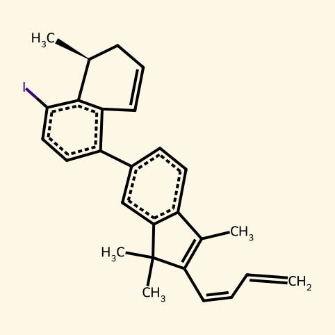 C=C/C=C\C1=C(C)c2ccc(-c3ccc(I)c4c3C=CC[C@@H]4C)cc2C1(C)C